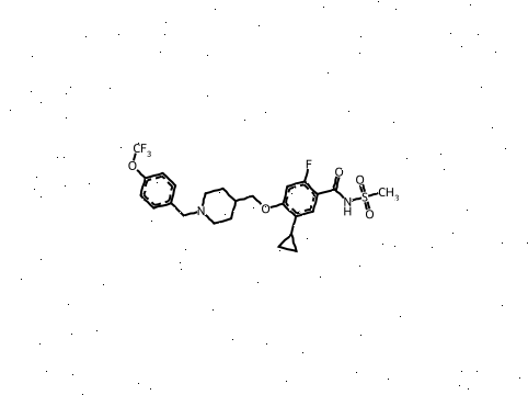 CS(=O)(=O)NC(=O)c1cc(C2CC2)c(OCC2CCN(Cc3ccc(OC(F)(F)F)cc3)CC2)cc1F